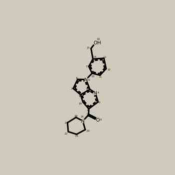 O=C(c1cnc2c(ccn2-c2cccc(CO)c2)c1)N1CCCCC1